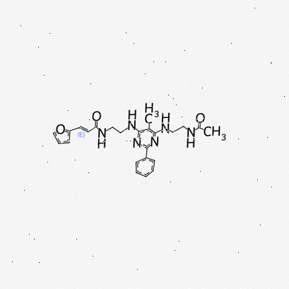 CC(=O)NCCNc1nc(-c2ccccc2)nc(NCCNC(=O)/C=C/c2ccco2)c1C